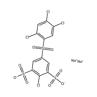 O=S(=O)([O-])c1cc(S(=O)(=O)c2cc(Cl)c(Cl)cc2Cl)cc(S(=O)(=O)[O-])c1Cl.[Na+].[Na+]